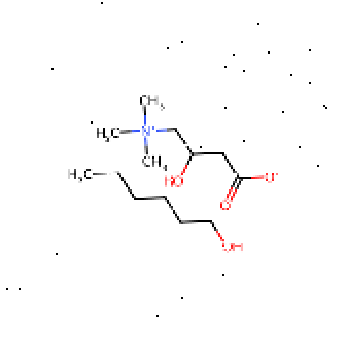 CCCCCCO.C[N+](C)(C)CC(O)CC(=O)[O-]